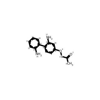 CC(=O)SOc1ccc(-c2ccccc2N)c(N)c1